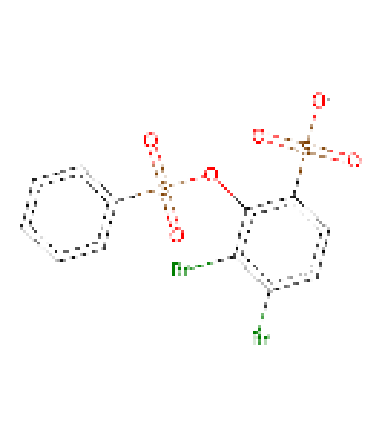 [O]S(=O)(=O)c1ccc(Br)c(Br)c1OS(=O)(=O)c1ccccc1